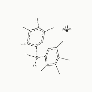 Cc1cc([Si](C)([O-])c2cc(C)c(C)c(C)c2C)c(C)c(C)c1C.[Cl-].[Mg+2]